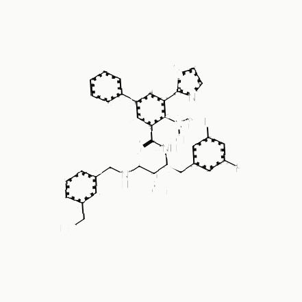 CCc1cccc(CNC[C@@H](O)[C@H](Cc2cc(F)cc(F)c2)NC(=O)c2cc(-c3ccccc3)cc(-c3nccs3)c2N(C)C)c1